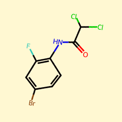 O=C(Nc1ccc(Br)cc1F)C(Cl)Cl